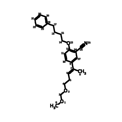 COCOCC/C=C(\C)c1ccc(OCCCCc2ccccc2)c(C#N)c1